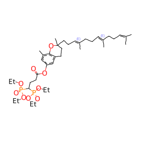 CCOP(=O)(OCC)C(CCC(=O)Oc1cc(C)c2c(c1)CCC(C)(CC/C=C(\C)CC/C=C(\C)CCC=C(C)C)O2)P(=O)(OCC)OCC